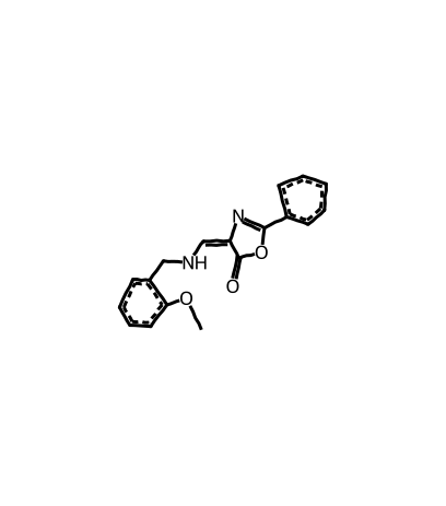 COc1ccccc1CN/C=C1/N=C(c2ccccc2)OC1=O